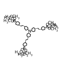 CC1(C)OB(c2ccc(/C=C/c3ccc(N(c4ccc(/C=C/c5ccc(B6OC(C)(C)C(C)(C)O6)cc5)cc4)c4ccc(/C=C/c5ccc(B6OC(C)(C)C(C)(C)O6)cc5)cc4)cc3)cc2)OC1(C)C